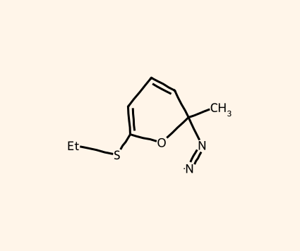 CCSC1=CC=CC(C)(N=[N])O1